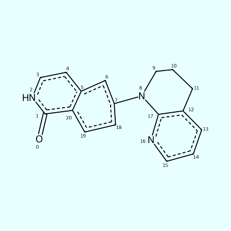 O=c1[nH]ccc2cc(N3CCCc4cccnc43)ccc12